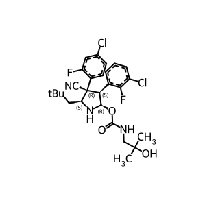 CC(C)(C)C[C@@H]1N[C@H](OC(=O)NCC(C)(C)O)[C@H](c2cccc(Cl)c2F)[C@@]1(C#N)c1ccc(Cl)cc1F